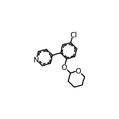 Clc1ccc(OC2CCCCO2)c(-c2ccncc2)c1